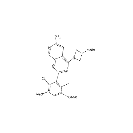 COc1cc(OC)c(Cl)c(-c2nc(N3CC(OC)C3)c3cc(N)ncc3n2)c1C